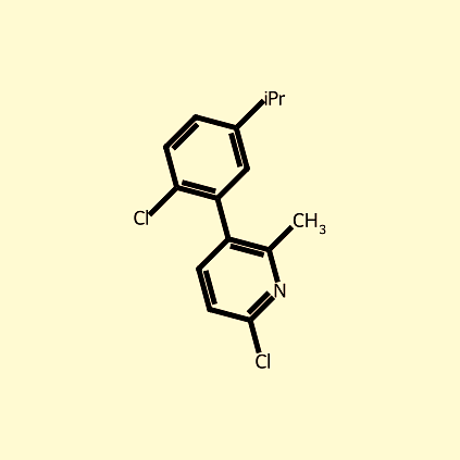 Cc1nc(Cl)ccc1-c1cc(C(C)C)ccc1Cl